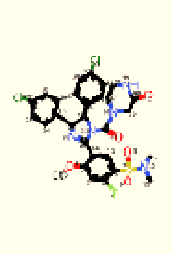 CCOc1cc(F)c(S(=O)(=O)N(C)C)cc1C1=NC(c2ccc(Cl)cc2)C(c2ccc(Cl)cc2)N1C(=O)N1CCNC(=O)C1